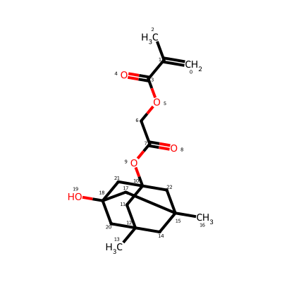 C=C(C)C(=O)OCC(=O)OC12CC3(C)CC(C)(CC(O)(C3)C1)C2